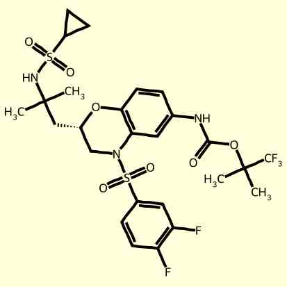 CC(C)(C[C@H]1CN(S(=O)(=O)c2ccc(F)c(F)c2)c2cc(NC(=O)OC(C)(C)C(F)(F)F)ccc2O1)NS(=O)(=O)C1CC1